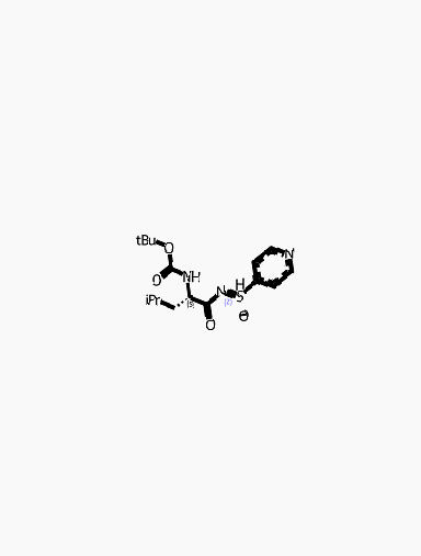 CC(C)C[C@H](NC(=O)OC(C)(C)C)C(=O)/N=[SH](=O)/c1ccncc1